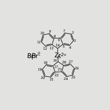 [Br-].[Br-].c1ccc2c(c1)-c1ccccc1[CH]2[Zr+2][CH]1c2ccccc2-c2ccccc21